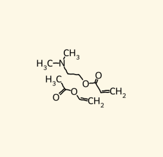 C=CC(=O)OCCN(C)C.C=COC(C)=O